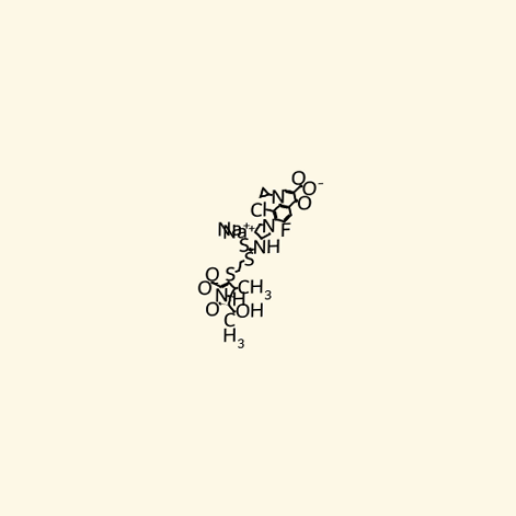 CC1C(SCCSC(=S)NC2CCN(c3c(F)cc4c(=O)c(C(=O)[O-])cn(C5CC5)c4c3Cl)C2)=C(C(=O)[O-])N2C(=O)[C@@H]([C@@H](C)O)[C@H]12.[Na+].[Na+]